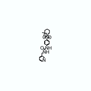 CC1(C)CCCCN1S(=O)(=O)c1ccc(NC(=O)NCc2cccnc2)cc1